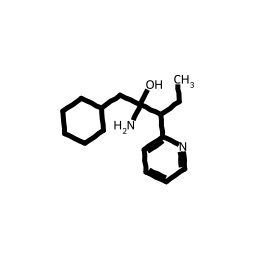 CCC(c1ccccn1)C(N)(O)CC1CCCCC1